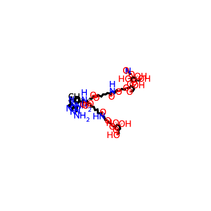 CN(Cc1cnc2nc(N)nc(N)c2n1)c1ccc(C(=O)N[C@H](CCC(=O)OCCCCCC(=O)NCCOCCOC2OCC[C@H](O)[C@@H]2O[C@H]2O[C@H](CO)[C@@H](O)[C@H](OCN=O)[C@@H]2O)C(=O)OCCCCCC(=O)NCCOCCOC2O[C@H](CO)C[C@@H](O)[C@H]2O)cc1